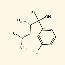 CCC(O)(c1cccc(O)c1)[C@@H](C)CN(C)C